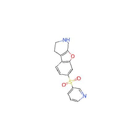 O=S(=O)(c1cccnc1)c1ccc2c3c(oc2c1)CNCC3